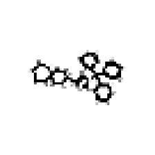 c1ccc(C(c2ccccc2)(c2ccccc2)n2cnc(C3CCC4(CCCCC4)CC3)c2)cc1